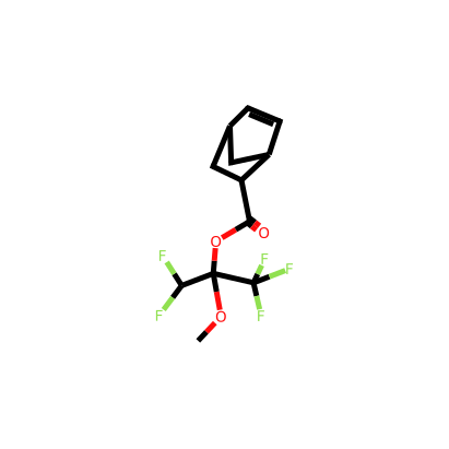 COC(OC(=O)C1CC2C=CC1C2)(C(F)F)C(F)(F)F